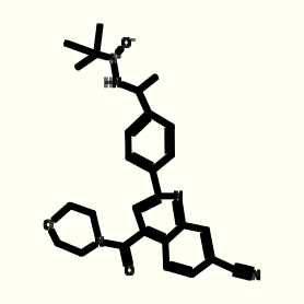 CC(N[S+]([O-])C(C)(C)C)c1ccc(-c2cc(C(=O)N3CCOCC3)c3ccc(C#N)cc3n2)cc1